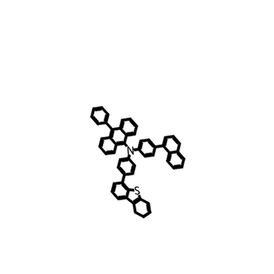 C1=Cc2sc3c(-c4ccc(N(c5ccc(-c6cccc7ccccc67)cc5)c5c6ccccc6c(-c6ccccc6)c6ccccc56)cc4)cccc3c2CC1